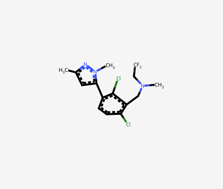 Cc1cc(-c2ccc(Cl)c(CN(C)CC(F)(F)F)c2Cl)n(C)n1